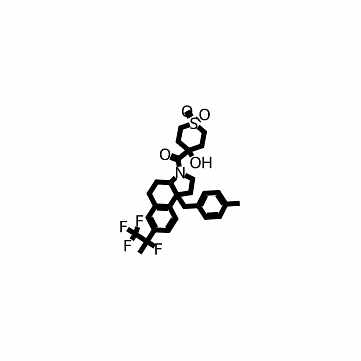 Cc1ccc(CC23CCN(C(=O)C4(O)CCS(=O)(=O)CC4)C2CCc2cc(C(C)(F)C(F)(F)F)ccc23)cc1